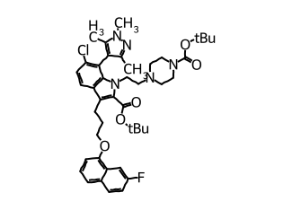 Cc1nn(C)c(C)c1-c1c(Cl)ccc2c(CCCOc3cccc4ccc(F)cc34)c(C(=O)OC(C)(C)C)n(CCN3CCN(C(=O)OC(C)(C)C)CC3)c12